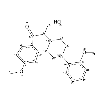 COc1ccc(C(=O)C(C)N2CCN(c3ccccc3OC)CC2)cc1.Cl